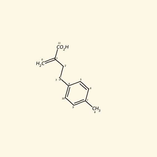 C=C(CSc1ccc(C)cc1)C(=O)O